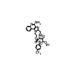 CCOCc1nc2c(N)nc3ccccc3c2n1CCO[P@](=O)(N[C@@H](C)C(=O)OC(C)C)Oc1ccc(C(F)(F)F)cc1